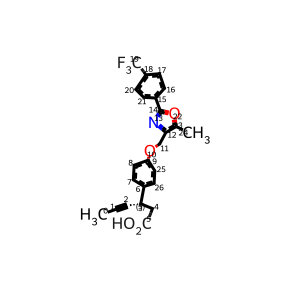 CC#C[C@@H](CC(=O)O)c1ccc(OCc2nc(-c3ccc(C(F)(F)F)cc3)oc2C)cc1